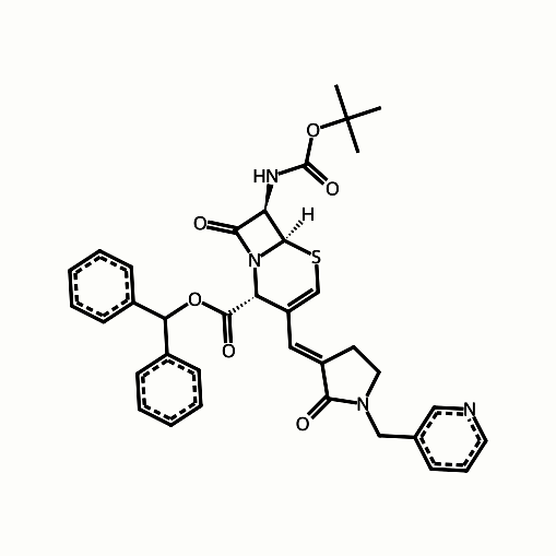 CC(C)(C)OC(=O)N[C@@H]1C(=O)N2[C@@H](C(=O)OC(c3ccccc3)c3ccccc3)C(C=C3CCN(Cc4cccnc4)C3=O)=CS[C@H]12